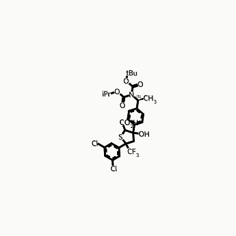 CC(C)OC(=O)N(C(=O)OC(C)(C)C)[C@@H](C)c1ccc(C2(O)CC(c3cc(Cl)cc(Cl)c3)(C(F)(F)F)SC2C(=O)O)cc1